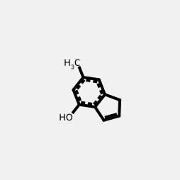 Cc1cc(O)c2c(c1)CC=C2